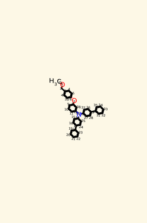 COCc1ccc(Oc2cccc(N(c3ccc(-c4ccccc4)cc3)c3ccc(-c4ccccc4)cc3)c2)cc1